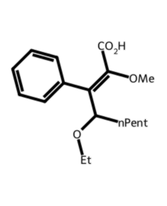 CCCCCC(OCC)C(=C(OC)C(=O)O)c1ccccc1